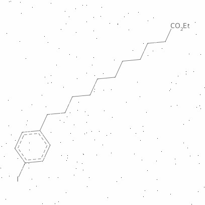 CCOC(=O)CCCCCCCCCCc1ccc(I)cc1